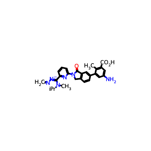 C=N/N=C(/c1cccc(N2Cc3ccc(-c4cc(N)cc(C(=O)O)c4C)cc3C2=O)n1)N(C)C(C)C